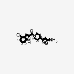 Nc1cc(C2CCN(C(=O)c3cc4c(Cl)cccc4[nH]3)CC2)no1